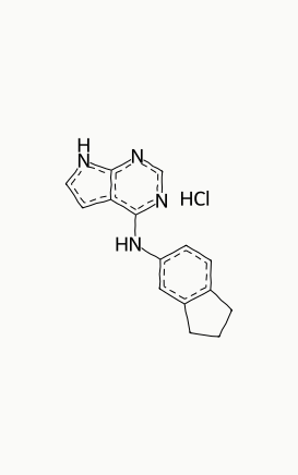 Cl.c1nc(Nc2ccc3c(c2)CCC3)c2cc[nH]c2n1